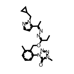 CCC(=N/N=C(/C)c1ccnn1CC1CC1)OCc1c(C)cccc1-n1nnn(C)c1=O